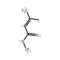 CC(=CC(=O)OC(F)(F)F)C(F)(F)F